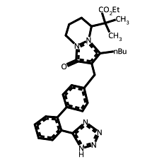 CCCCc1c(Cc2ccc(-c3ccccc3-c3nnn[nH]3)cc2)c(=O)n2n1C(C(C)(C)C(=O)OCC)CCC2